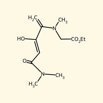 C=C(/C(O)=C/C(=O)N(C)C)N(C)CC(=O)OCC